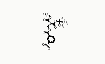 COC(=O)N(COC(=O)c1cccc([N+](=O)[O-])c1)C(=O)OC(C)(C)C